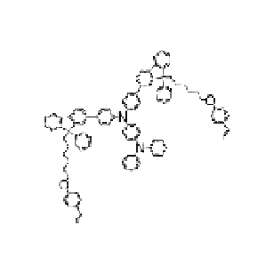 C=Cc1ccc(OCCCCCCC2(c3ccccc3)c3ccccc3-c3ccc(-c4ccc(N(c5ccc(-c6ccc7c(c6)C(CCCCCCOc6ccc(C=C)cc6)(c6ccccc6)c6ccccc6-7)cc5)c5ccc(N(c6ccccc6)c6ccccc6)cc5)cc4)cc32)cc1